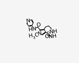 Cn1cc2c(c1C(=O)Nc1ccncc1)CCCNS2(=N)=O